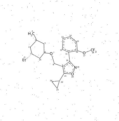 CC[C@@H]1CC(C)CC(OCc2c(-c3ccccc3OC(F)(F)F)noc2C2CC2)C1